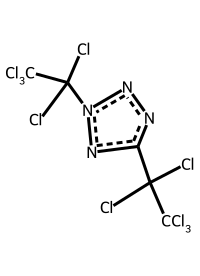 ClC(Cl)(Cl)C(Cl)(Cl)c1nnn(C(Cl)(Cl)C(Cl)(Cl)Cl)n1